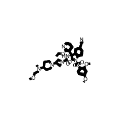 CCOc1ncccc1[C@]1(NC(=O)N2CC(N3CCC(N(C)CCOC)CC3)C2)C(=O)N(S(=O)(=O)c2ccc(OC)cc2OC)c2ccc(C#N)cc21